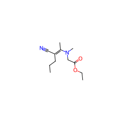 CCCC(C#N)=C(C)N(C)CC(=O)OCC